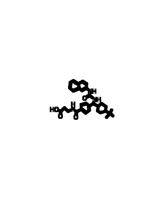 CC(C)(C)C1CCC(C(NC(=O)Nc2ccc3ccccc3c2)c2ccc(C(=O)NCCC(=O)O)cc2)CC1